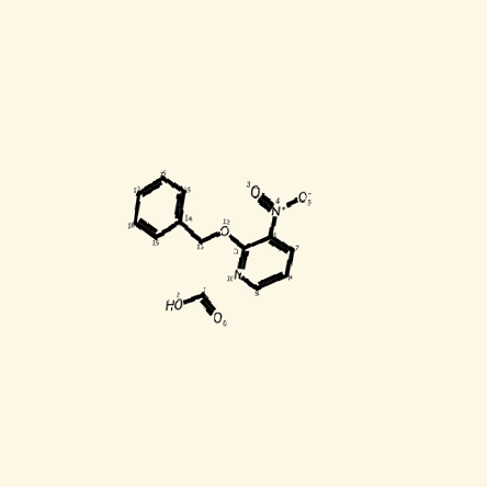 O=CO.O=[N+]([O-])c1cccnc1OCc1ccccc1